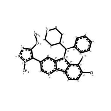 COc1nnn(C)c1-c1cnc2c3ccc(Cl)c(F)c3n([C@H](c3ccccc3)C3CCOCC3)c2c1